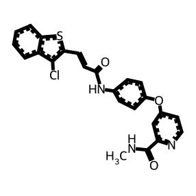 CNC(=O)c1cc(Oc2ccc(NC(=O)C=Cc3sc4ccccc4c3Cl)cc2)ccn1